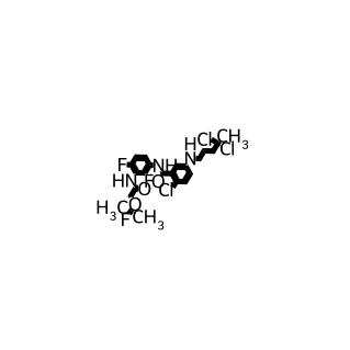 CC(Cl)(Cl)CCCNc1ccc(Cl)c(C(=O)Nc2ccc(F)c(NC(=O)COC(C)(C)F)c2F)c1